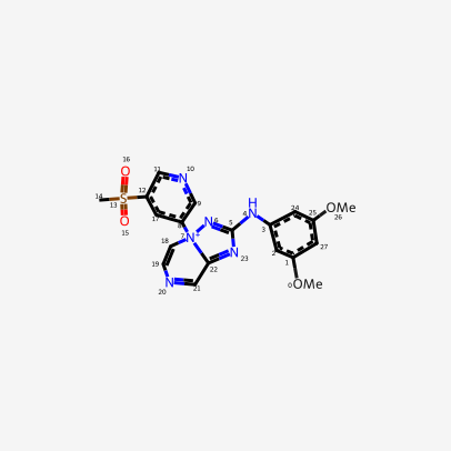 COc1cc(NC2=N[N+]3(c4cncc(S(C)(=O)=O)c4)C=CN=CC3=N2)cc(OC)c1